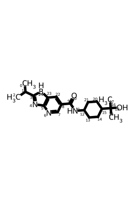 CC(C)C1=Nc2ncc(C(=O)NC3CCC(C(C)(C)O)CC3)cc2B1